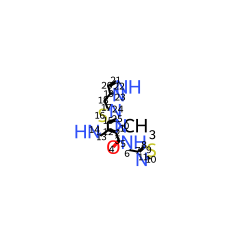 Cn1c(C(=O)NCc2cscn2)c(C=N)c2sc(Cc3cc[nH]n3)nc21